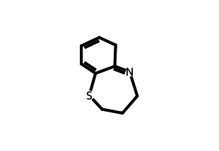 C1=CCC2=NCCCSC2=C1